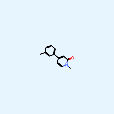 Cc1cccc(-c2ccn(C)c(=O)c2)c1